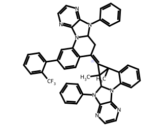 CC12/C(=C3\CC4N(c5ccccc5)c5nccnc5N4c4cc(-c5ccccc5C(F)(F)F)ccc43)C1(C)C1N(c3ccccc3)c3nccnc3N1c1ccccc12